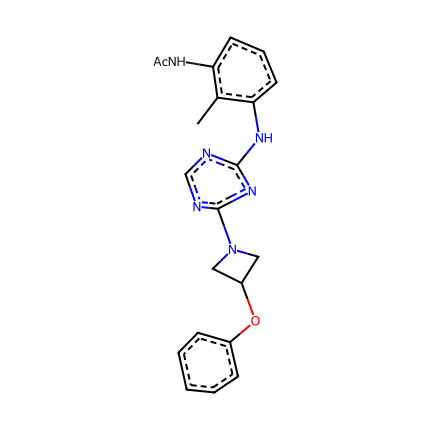 CC(=O)Nc1cccc(Nc2ncnc(N3CC(Oc4ccccc4)C3)n2)c1C